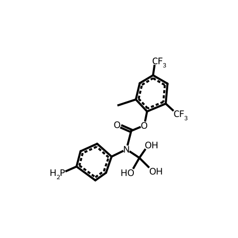 Cc1cc(C(F)(F)F)cc(C(F)(F)F)c1OC(=O)N(c1ccc(P)cc1)C(O)(O)O